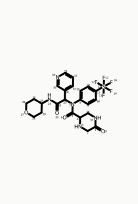 O=C1CNC(C(=O)N(c2ccc(S(F)(F)(F)(F)F)cc2)C(C(=O)NC2CCOCC2)c2cccnc2)CN1